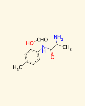 Cc1ccc(NC(=O)C(C)N)cc1.O=CO